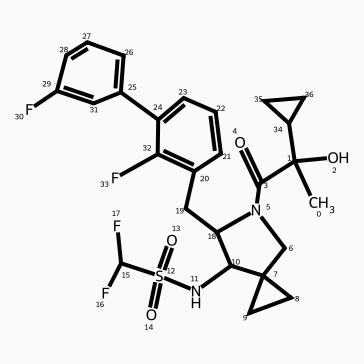 CC(O)(C(=O)N1CC2(CC2)C(NS(=O)(=O)C(F)F)C1Cc1cccc(-c2cccc(F)c2)c1F)C1CC1